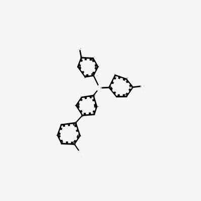 Fc1cccc(-c2ccc(N(c3ccc(Br)cc3)c3ccc(Br)cc3)cc2)c1